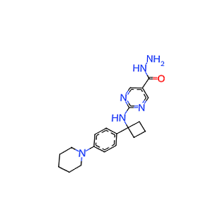 NNC(=O)c1cnc(NC2(c3ccc(N4CCCCC4)cc3)CCC2)nc1